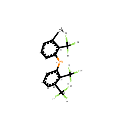 Cc1cccc(Pc2cccc(C(F)(F)F)c2C(F)(F)F)c1C(F)(F)F